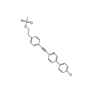 CS(=O)(=O)OCCc1ccc(C#Cc2ccc(-c3ccc(Cl)cc3)cn2)cc1